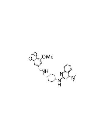 COc1cc(CNC[C@H]2CC[C@@H](Nc3cc(N(C)C)c4ccccc4n3)CC2)cc2c1OCO2